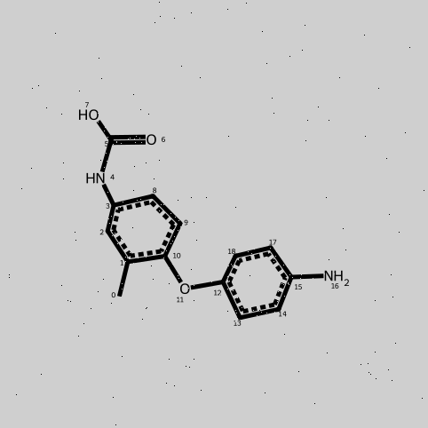 Cc1cc(NC(=O)O)ccc1Oc1ccc(N)cc1